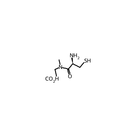 CN(CC(=O)O)C(=O)[C@@H](N)CS